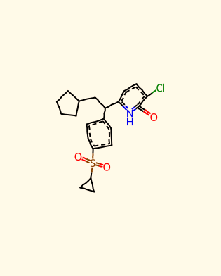 O=c1[nH]c(C(CC2CCCC2)c2ccc(S(=O)(=O)C3CC3)cc2)ccc1Cl